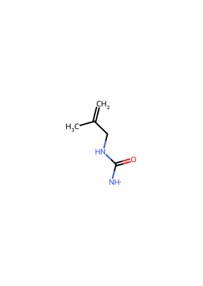 C=C(C)CNC([NH])=O